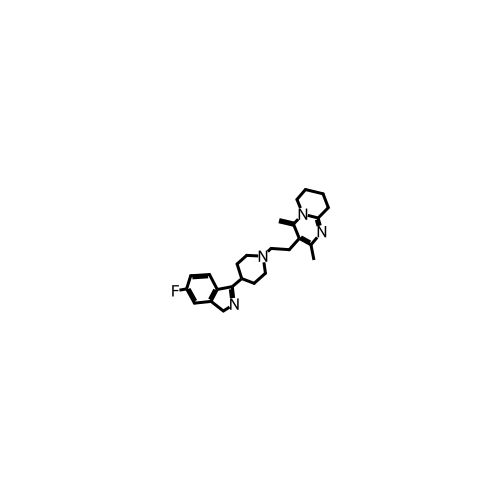 C=C1C(CCN2CCC(C3=NCc4cc(F)ccc43)CC2)=C(C)N=C2CCCCN12